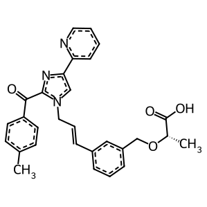 Cc1ccc(C(=O)c2nc(-c3ccccn3)cn2C/C=C/c2cccc(CO[C@@H](C)C(=O)O)c2)cc1